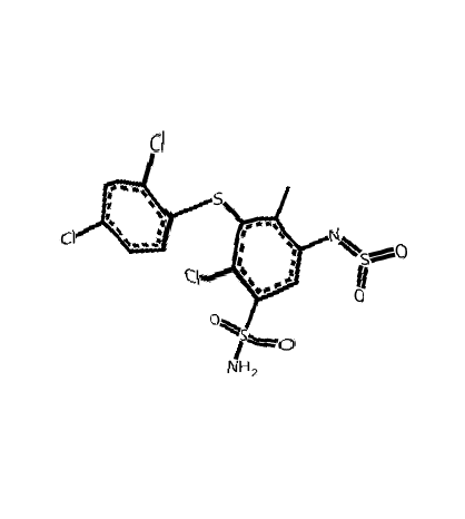 Cc1c(N=S(=O)=O)cc(S(N)(=O)=O)c(Cl)c1Sc1ccc(Cl)cc1Cl